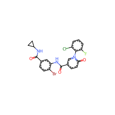 O=C(Nc1cc(C(=O)NC2CC2)ccc1Br)c1ccc(=O)n(-c2c(F)cccc2Cl)c1